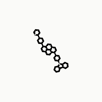 c1ccc(-c2ccc(-c3ccc4ccc5c(-c6ccc(-n7c8ccccc8c8ccccc87)cc6)ccc6ccc3c4c65)cc2)nc1